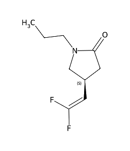 CCCN1C[C@H](C=C(F)F)CC1=O